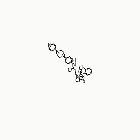 CN(CCC(=O)Nc1ccc(N2CCN(c3ccncc3)CC2)cc1)S(=O)(=O)c1ccccc1Cl